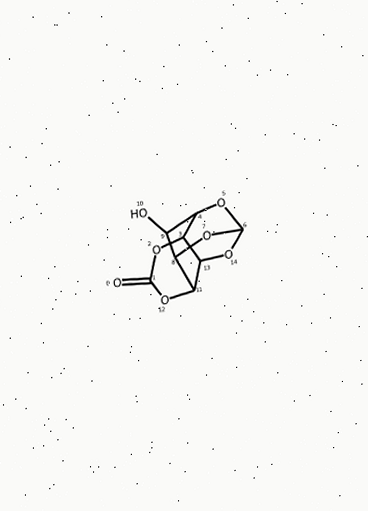 O=C1OC2C3OC4OC(C3O)C(O1)C2O4